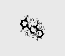 C[C@@]1(c2nc(Br)ccc2F)C[SH]2(=O)NCCC[C@]2(C)C(NC(=O)O)=N1